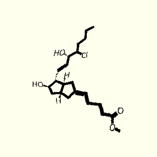 CCCCC(Cl)[C@@H](O)C=C[C@@H]1[C@H]2CC(=CCCCC(=O)OC)C[C@@H]2C[C@H]1O